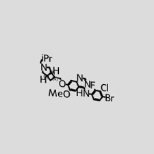 COc1cc2c(Nc3ccc(Br)c(Cl)c3F)ncnc2cc1OC[C@H]1C[C@H]2CN(CC(C)C)C[C@@H]12